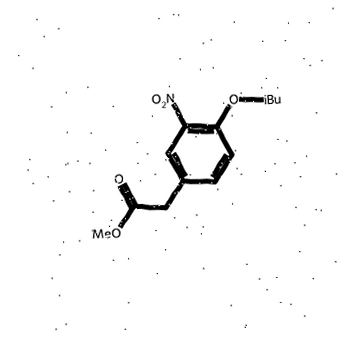 CCC(C)Oc1ccc(CC(=O)OC)cc1[N+](=O)[O-]